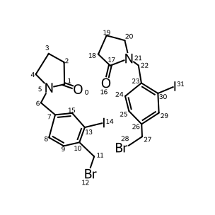 O=C1CCCN1Cc1ccc(CBr)c(I)c1.O=C1CCCN1Cc1ccc(CBr)cc1I